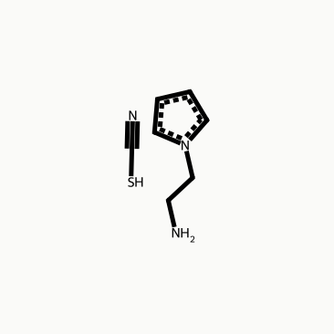 N#CS.NCCn1cccc1